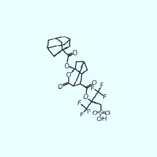 O=C1OC2(OC(=O)C34CC5CC(CC(C5)C3)C4)CC3CC2C(C(=O)OC(CS(=O)(=O)O)(C(F)(F)F)C(F)(F)F)C13